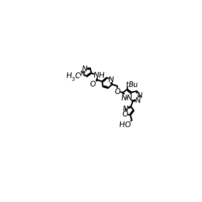 Cn1cc(NC(=O)c2ccc(COc3nn4c(-c5cc(CO)on5)nncc4c3C(C)(C)C)nc2)cn1